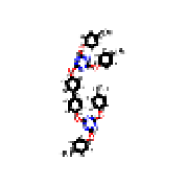 CC(C)(C)c1ccc(Oc2nc(Oc3ccc(-c4ccc(Oc5nc(Oc6ccc(C(C)(C)C)cc6)nc(Oc6ccc(C(C)(C)C)cc6)n5)cc4)cc3)nc(Oc3ccc(C(C)(C)C)cc3)n2)cc1